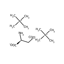 C[N+](C)(C)C.C[N+](C)(C)C.N[C@@H](CC(=O)[O-])C(=O)[O-]